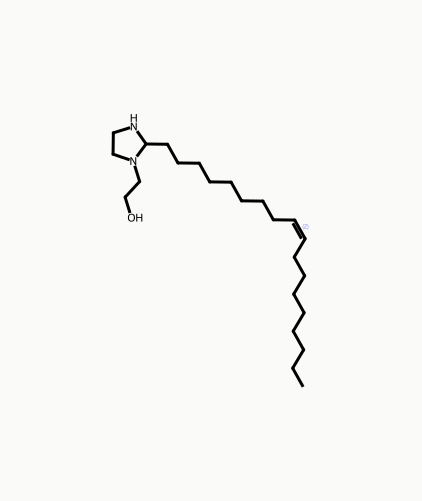 CCCCCCCC/C=C\CCCCCCCCC1NCCN1CCO